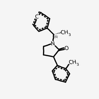 Cc1ccccc1C1CCN([C@@H](C)c2ccccc2)C1=O